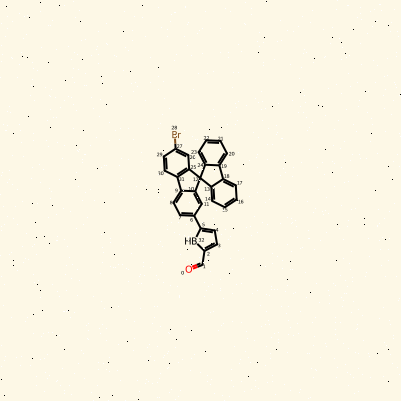 O=CC1=CC=C(c2ccc3c(c2)C2(c4ccccc4-c4ccccc42)c2cc(Br)ccc2-3)B1